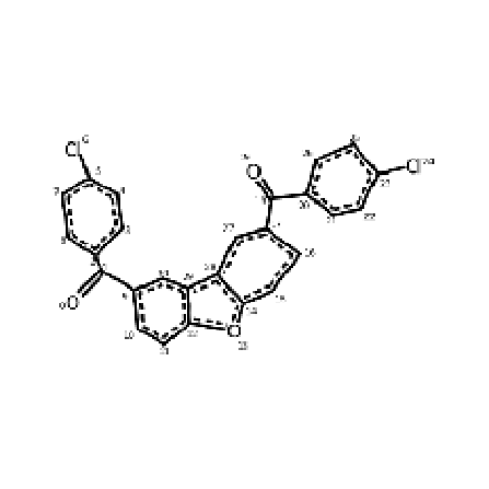 O=C(c1ccc(Cl)cc1)c1ccc2oc3ccc(C(=O)c4ccc(Cl)cc4)cc3c2c1